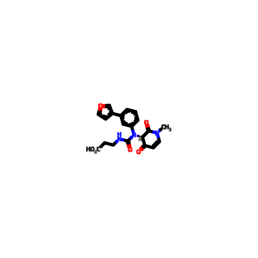 CN1C=CC(=O)[C@H](N(C(=O)NCCC(=O)O)c2cccc(-c3ccoc3)c2)C1=O